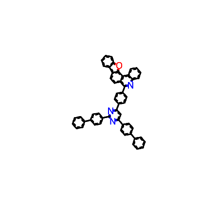 c1ccc(-c2ccc(-c3cc(-c4ccc(-c5nc6ccccc6c6c5ccc5c7ccccc7oc56)cc4)nc(-c4ccc(-c5ccccc5)cc4)n3)cc2)cc1